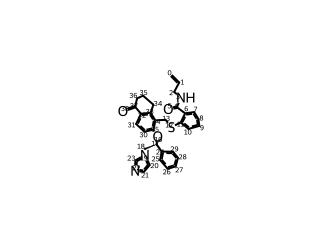 C=CCNC(=O)c1ccccc1SCc1c(O[C@H](Cn2ccnc2)c2ccccc2)ccc2c1CCCC2=O